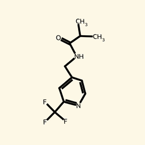 CC(C)C(=O)NCc1ccnc(C(F)(F)F)c1